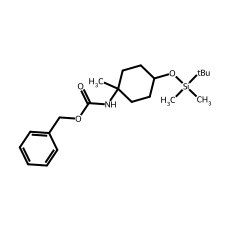 CC1(NC(=O)OCc2ccccc2)CCC(O[Si](C)(C)C(C)(C)C)CC1